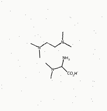 CN(C)C(N)C(=O)O.CN(C)CCN(C)C